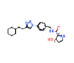 O=C(NCc1ccc(-n2cc(CCC3CCCCC3)nn2)cc1)[C@H]1NCC[C@@H]1O